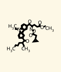 CCCCC(CC)C(=O)c1ccc2c(c1)c1cc(C(=O)C(CCC(=O)OCC)=NOC(=O)CC3CC3)ccc1n2CC